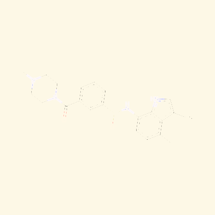 Cc1ccc(N[S+]([O-])c2cccc(C(=O)N3CCN(C)CC3)c2)c2[nH]cc(C#N)c12